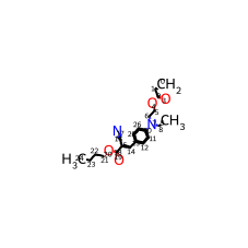 C=CC(=O)OCCN(CC)c1ccc(/C=C(\C#N)C(=O)OCCCC)cc1